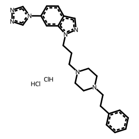 Cl.Cl.c1ccc(CCN2CCN(CCCn3ncc4ccc(-n5cnnc5)cc43)CC2)cc1